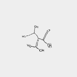 O=C(O)C(=C(O)O)C(O)O